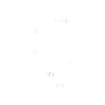 CCCNC(=O)C(S)CC(S)C(=O)O